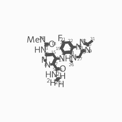 [2H]C([2H])([2H])NC(=O)c1nnc(NC(=O)NC)cc1Nc1cc(F)cc2c1N(C)Cc1nc(C)nn1-2